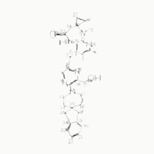 CN1c2nccc(Sc3cnc(N4CCC5(CC4)Cc4ccccc4C5)c(CO)n3)c2NC(=O)CC12CC2